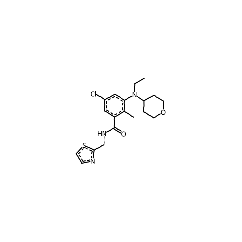 CCN(c1cc(Cl)cc(C(=O)NCc2nccs2)c1C)C1CCOCC1